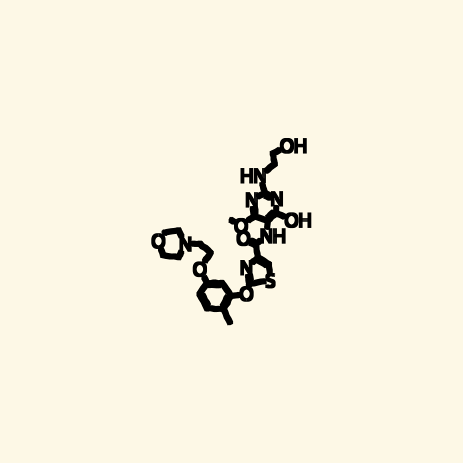 COc1nc(NCCO)nc(O)c1NC(=O)c1csc(Oc2cc(OCCN3CCOCC3)ccc2C)n1